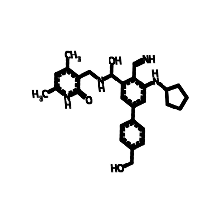 Cc1cc(C)c(CNC(O)c2cc(-c3ccc(CO)cc3)cc(NC3CCCC3)c2C=N)c(=O)[nH]1